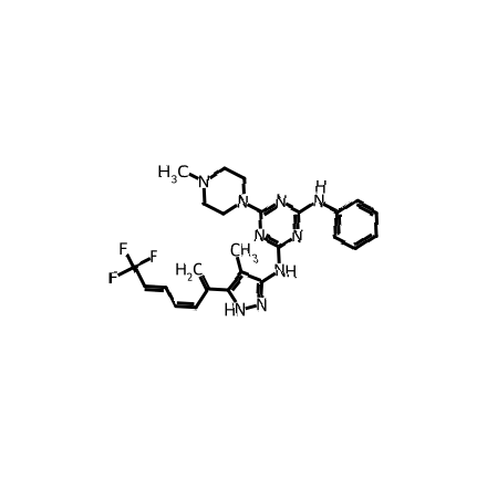 C=C(/C=C\C=C\C(F)(F)F)c1[nH]nc(Nc2nc(Nc3ccccc3)nc(N3CCN(C)CC3)n2)c1C